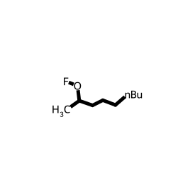 CCCCCCCC(C)OF